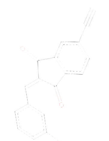 C#Cc1ccc2c(c1)C(=O)/C(=C/c1cccc(O)c1)C2=O